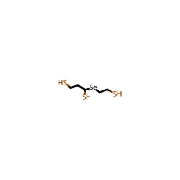 SCC[Se]C(S)CCS